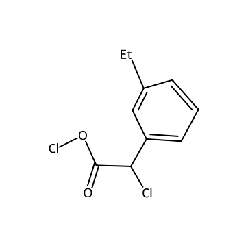 CCc1cccc(C(Cl)C(=O)OCl)c1